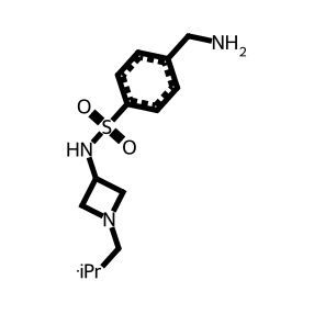 C[C](C)CN1CC(NS(=O)(=O)c2ccc(CN)cc2)C1